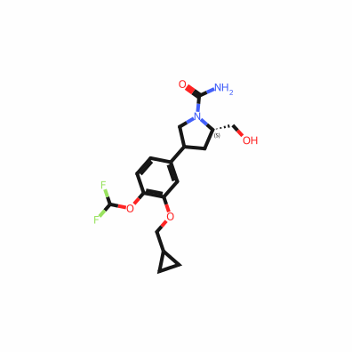 NC(=O)N1CC(c2ccc(OC(F)F)c(OCC3CC3)c2)C[C@H]1CO